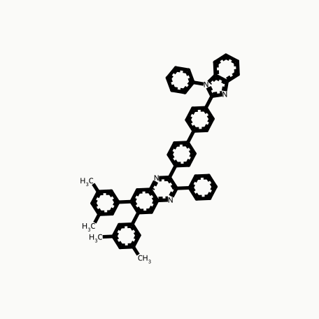 Cc1cc(C)cc(-c2cc3nc(-c4ccccc4)c(-c4ccc(-c5ccc(-c6nc7ccccc7n6-c6ccccc6)cc5)cc4)nc3cc2-c2cc(C)cc(C)c2)c1